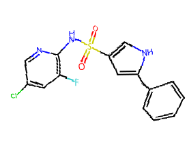 O=S(=O)(Nc1ncc(Cl)cc1F)c1c[nH]c(-c2ccccc2)c1